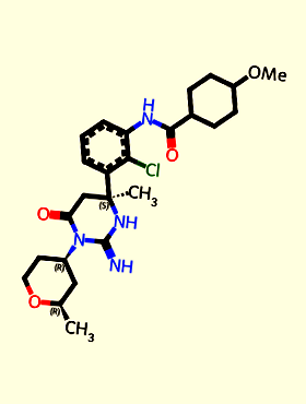 COC1CCC(C(=O)Nc2cccc([C@]3(C)CC(=O)N([C@@H]4CCO[C@H](C)C4)C(=N)N3)c2Cl)CC1